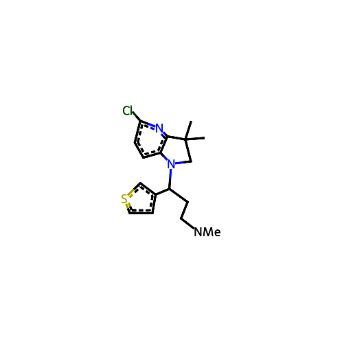 CNCCC(c1ccsc1)N1CC(C)(C)c2nc(Cl)ccc21